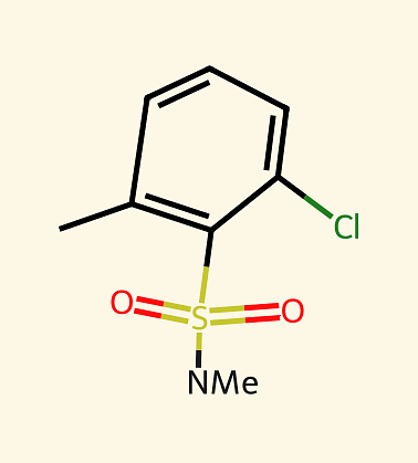 [CH2]NS(=O)(=O)c1c(C)cccc1Cl